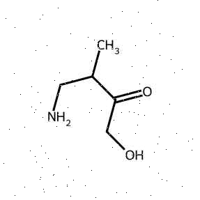 CC(CN)C(=O)CO